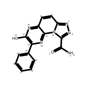 NC(=O)c1nnc2ccc3nc(O)c(-c4ccccc4)nc3n12